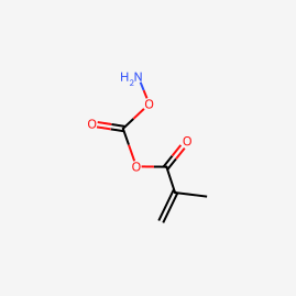 C=C(C)C(=O)OC(=O)ON